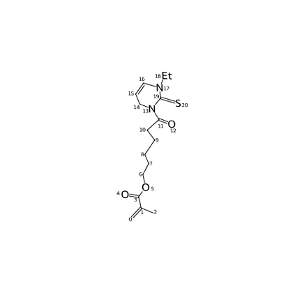 C=C(C)C(=O)OCCCCCC(=O)N1CC=CN(CC)C1=S